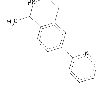 CC1NCCc2cc(-c3ccccn3)ccc21